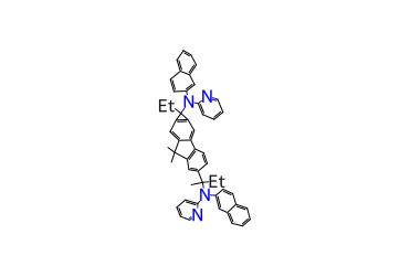 CCC(C)(c1ccc2c(c1)C(C)(C)c1cc3c(cc1-2)C3(CC)N(c1ccc2ccccc2c1)c1ccccn1)N(c1ccc2ccccc2c1)c1ccccn1